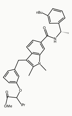 CCCCc1cccc([C@H](C)NC(=O)c2ccc3c(Cc4cccc(OC(C(=O)OC)C(C)C)c4)c(C)n(C)c3c2)c1